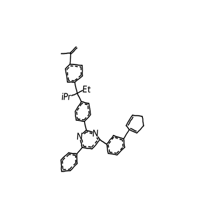 C=C(C)c1ccc(C(CC)(c2ccc(-c3nc(-c4ccccc4)cc(-c4cccc(C5=CCCC=C5)c4)n3)cc2)C(C)C)cc1